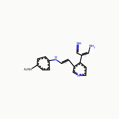 CC(=O)Nc1ccc(N/C=C/c2cnccc2/C(C=N)=C/N)cc1